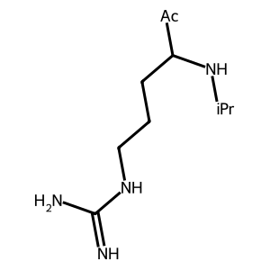 CC(=O)C(CCCNC(=N)N)NC(C)C